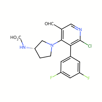 O=Cc1cnc(Cl)c(-c2cc(F)cc(F)c2)c1N1CC[C@H](NC(=O)O)C1